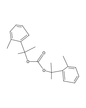 Cc1ccccc1C(C)(C)OC(=O)OC(C)(C)c1ccccc1C